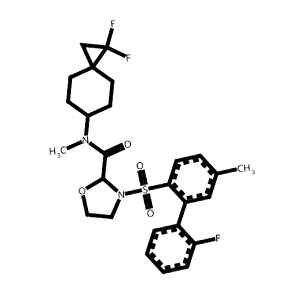 Cc1ccc(S(=O)(=O)N2CCOC2C(=O)N(C)C2CCC3(CC2)CC3(F)F)c(-c2ccccc2F)c1